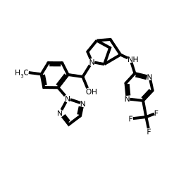 Cc1ccc(C(O)N2CC3CC(Nc4cnc(C(F)(F)F)cn4)C2C3)c(-n2nccn2)c1